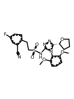 COc1cccc(OC)c1-n1c(NS(=O)(=O)CCc2ccc(F)cc2C#N)nnc1[C@H]1CCCO1